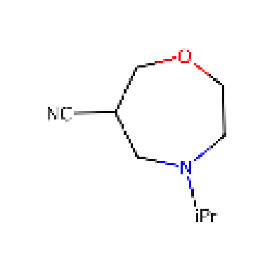 CC(C)N1CCOCC(C#N)C1